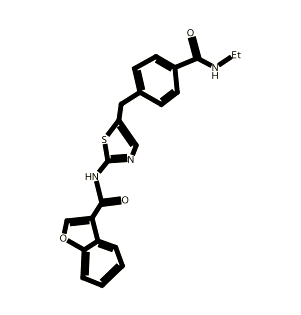 CCNC(=O)c1ccc(Cc2cnc(NC(=O)c3coc4ccccc34)s2)cc1